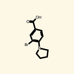 O=C(O)c1ccc(N2CCCC2)c(Br)c1